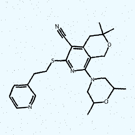 CC1CN(c2nc(SCCc3cccnc3)c(C#N)c3c2COC(C)(C)C3)CC(C)O1